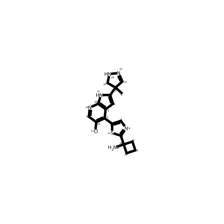 CC1(c2cc3c(-c4cnc(C5(N)CCC5)s4)c(Cl)cnc3[nH]2)C=NNC1